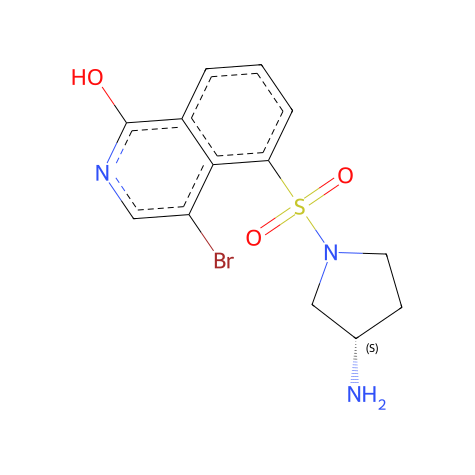 N[C@H]1CCN(S(=O)(=O)c2cccc3c(O)ncc(Br)c23)C1